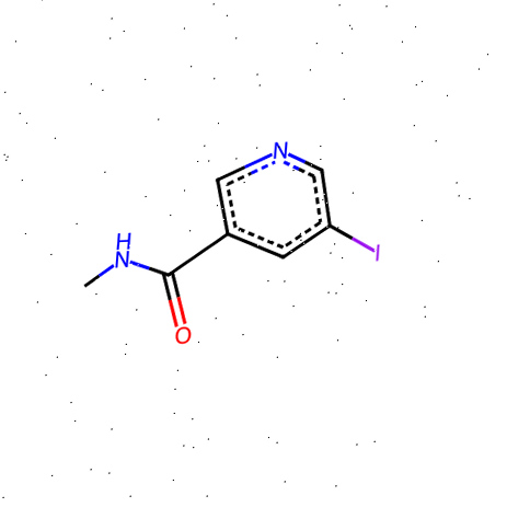 CNC(=O)c1cncc(I)c1